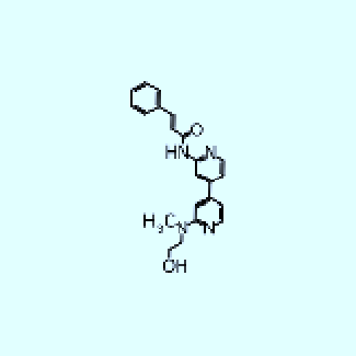 CN(CCO)c1cc(-c2ccnc(NC(=O)C=Cc3ccccc3)c2)ccn1